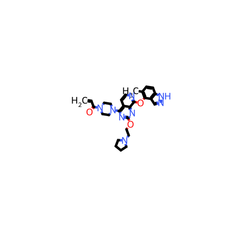 C=CC(=O)N1CCN(c2nc(OCCN3CCCC3)nc3c(Oc4c(C)ccc5[nH]ncc45)nccc23)CC1